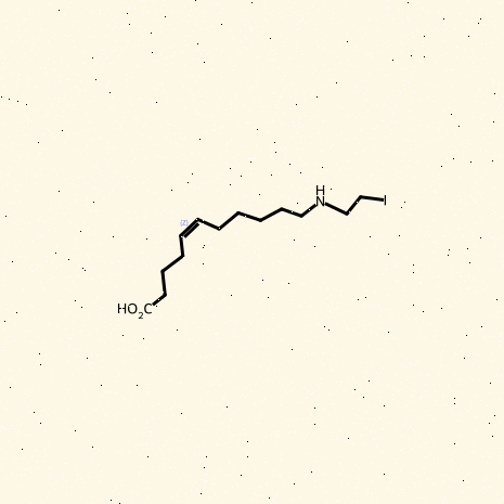 O=C(O)CCC/C=C\CCCCCNCCI